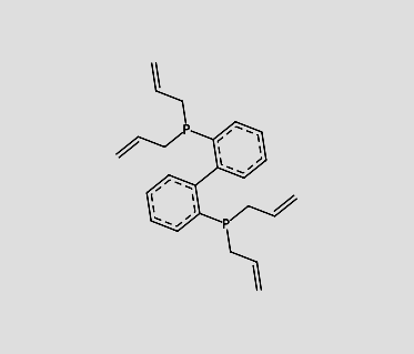 C=CCP(CC=C)c1ccccc1-c1ccccc1P(CC=C)CC=C